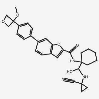 COC1(c2ccc(-c3ccc4cc(C(=O)NC5(C(O)NC6(C#N)CC6)CCCCC5)oc4c3)cc2)COC1